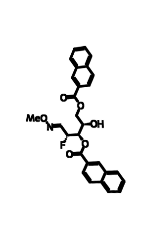 CON=C[C@@H](F)[C@H](OC(=O)c1ccc2ccccc2c1)[C@H](O)COC(=O)c1ccc2ccccc2c1